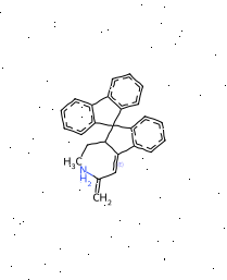 C=C(N)/C=C1/c2ccccc2C2(c3ccccc3-c3ccccc32)C1CC